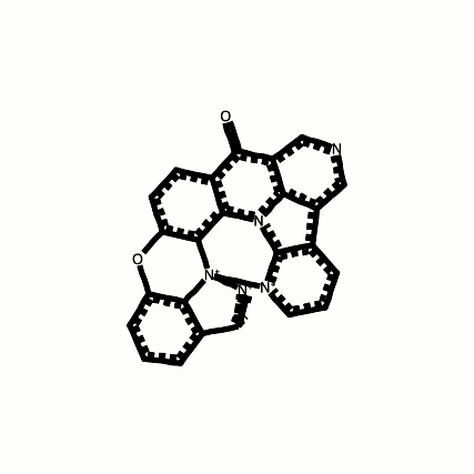 O=c1c2ccc3c4c2n2c5c1cncc5c1ccc[n+](c12)[N+]41c2c(cccc2-c2cccc[n+]21)O3